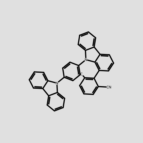 N#Cc1cccc(C#N)c1-c1cccc2c3ccccc3n(-c3ccc(-n4c5ccccc5c5ccccc54)cc3)c12